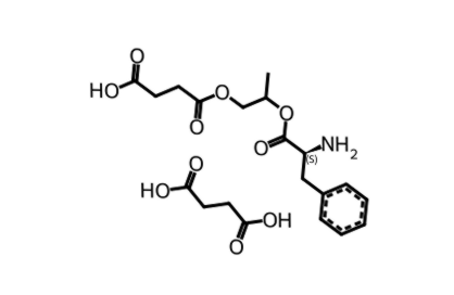 CC(COC(=O)CCC(=O)O)OC(=O)[C@@H](N)Cc1ccccc1.O=C(O)CCC(=O)O